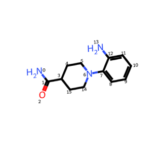 NC(=O)C1CCN(c2ccccc2N)CC1